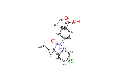 C=CC1CC1(C(=O)Nc1ccc(C(=O)O)c(CC)c1)c1ccc(Cl)cc1